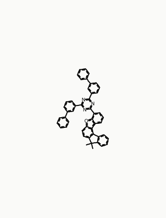 CC1(C)c2ccccc2-c2c1ccc1oc3c(-c4nc(-c5cccc(-c6ccccc6)c5)nc(-c5cccc(-c6ccccc6)c5)n4)cccc3c21